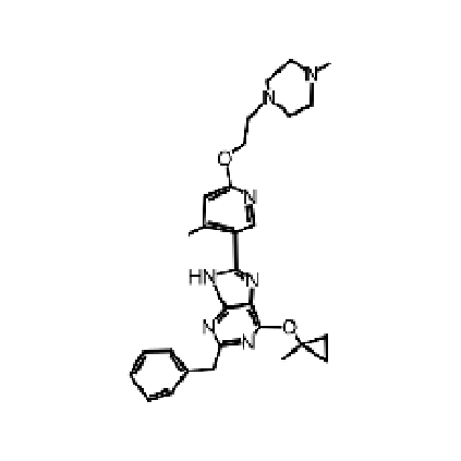 Cc1cc(OCCN2CCN(C)CC2)ncc1-c1nc2c(OC3(C)CC3)nc(Cc3ccccc3)nc2[nH]1